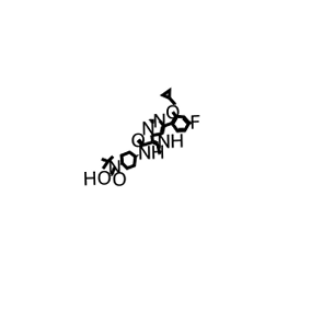 Cc1[nH]c2c(-c3ccc(F)cc3OCC3CC3)ncnc2c1C(=O)N[C@H]1CC[C@@H](N(C(=O)O)C(C)(C)C)CC1